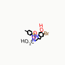 Cc1ccc(S(=O)(=O)n2c(CNC(=O)O)cc3cc(Br)c(O)cc32)cc1